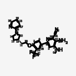 CNc1cc(-c2ccc(OCC[C@@H]3CCN(c4ccccn4)C3)c(C(F)(F)F)c2)nc(C#N)c1N